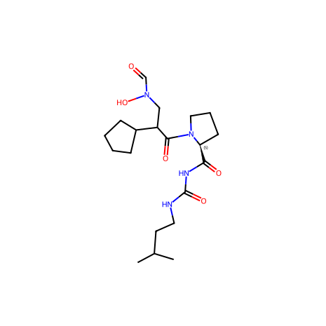 CC(C)CCNC(=O)NC(=O)[C@@H]1CCCN1C(=O)C(CN(O)C=O)C1CCCC1